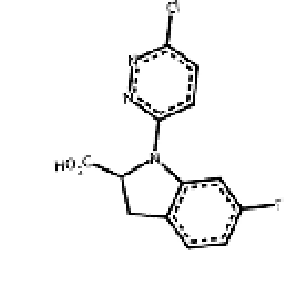 O=C(O)C1Cc2ccc(F)cc2N1c1ccc(Cl)nn1